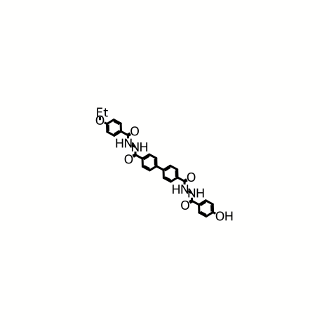 CCOc1ccc(C(=O)NNC(=O)c2ccc(-c3ccc(C(=O)NNC(=O)c4ccc(O)cc4)cc3)cc2)cc1